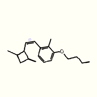 CCCCOc1cccc(/C=C\C2C(C)CC2C)c1C